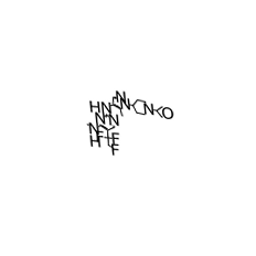 CNc1nc(Nc2cnn(C3CCN(C4COC4)CC3)c2C)ncc1C(F)(F)CF